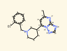 CCc1ccccc1CN1CCCC(c2cc(C)nc3ncnn23)C1